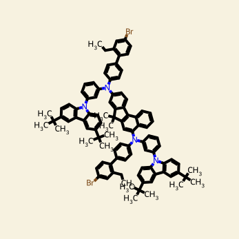 CCc1cc(Br)ccc1-c1ccc(N(c2cccc(-n3c4ccc(C(C)(C)C)cc4c4cc(C(C)(C)C)ccc43)c2)c2ccc3c(c2)C(C)(C)c2cc(N(c4ccc(-c5ccc(Br)cc5CC)cc4)c4cccc(-n5c6ccc(C(C)(C)C)cc6c6cc(C(C)(C)C)ccc65)c4)c4ccccc4c2-3)cc1